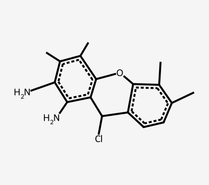 Cc1ccc2c(c1C)Oc1c(C)c(C)c(N)c(N)c1C2Cl